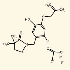 C=C(C)COc1cc(Cl)c(CN2OCC(C)(C)C2=O)cc1O.O=C([O-])[O-].[K+].[K+]